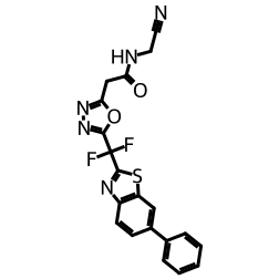 N#CCNC(=O)Cc1nnc(C(F)(F)c2nc3ccc(-c4ccccc4)cc3s2)o1